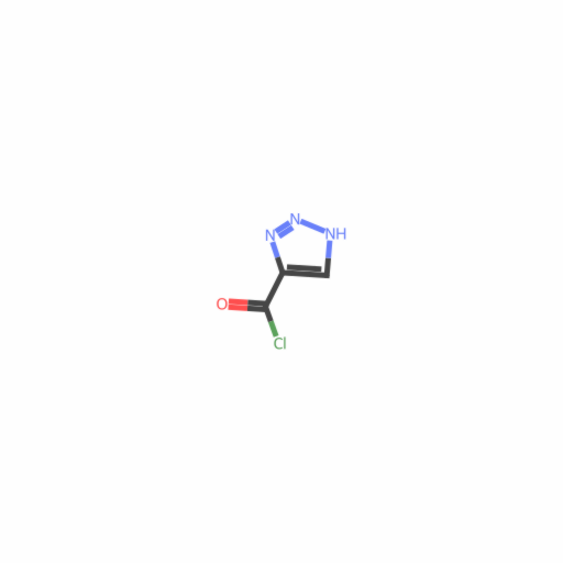 O=C(Cl)c1c[nH]nn1